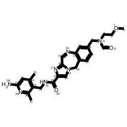 COCCN(C=O)Cc1ccc2c(c1)N=Cc1nc(C(=O)NCc3c(C)cc(N)nc3C)cn1C2